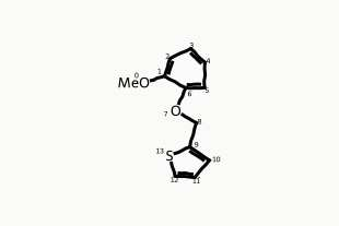 COc1ccccc1OCc1c[c]cs1